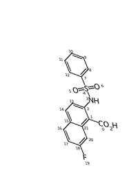 O=C(O)c1c(NS(=O)(=O)c2ccccc2)ccc2ccc(F)cc12